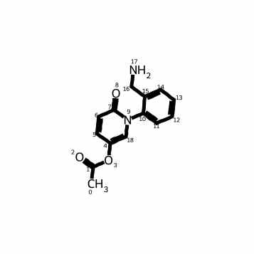 CC(=O)Oc1ccc(=O)n(-c2ccccc2CN)c1